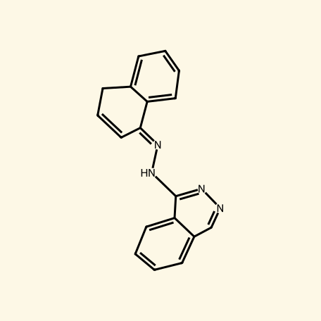 C1=CC(=NNc2nncc3ccccc23)c2ccccc2C1